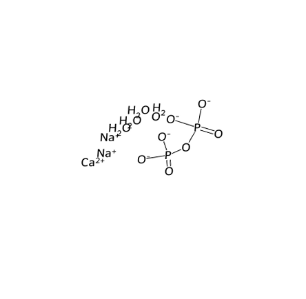 O.O.O.O.O=P([O-])([O-])OP(=O)([O-])[O-].[Ca+2].[Na+].[Na+]